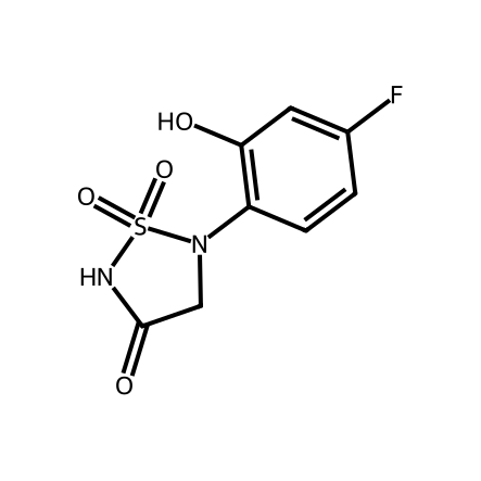 O=C1CN(c2ccc(F)cc2O)S(=O)(=O)N1